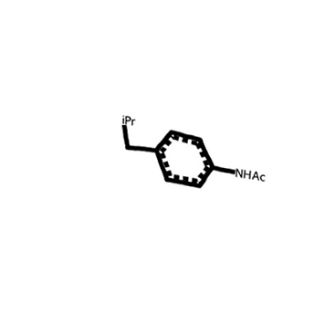 CC(=O)Nc1ccc(CC(C)C)cc1